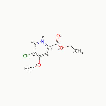 CCOC(=O)c1cc(OC)c(Cl)cn1